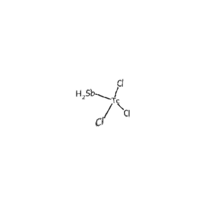 [Cl][Tc]([Cl])([Cl])[SbH2]